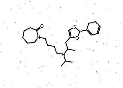 CC(C)N(CCCCN1CCCCCC1=O)C(C)CC1=CSC(C2=CC=CCC2)O1